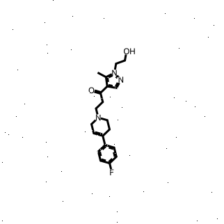 Cc1c(C(=O)CCN2CC=C(c3ccc(F)cc3)CC2)cnn1CCO